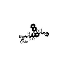 CCN(CCNC(=O)c1cn2c3c(c(NCCN4CCCC4)ccc3c1=O)Oc1cc3ccccc3cc1-2)CCOC